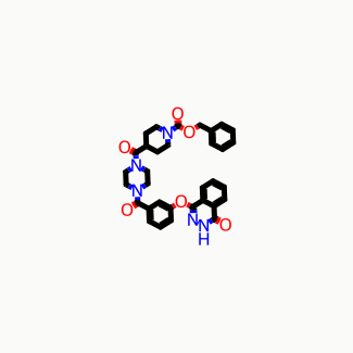 O=C(OCc1ccccc1)N1CCC(C(=O)N2CCN(C(=O)c3cccc(Oc4n[nH]c(=O)c5ccccc45)c3)CC2)CC1